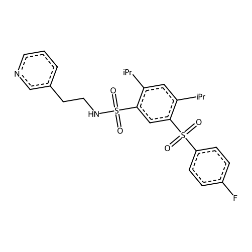 CC(C)c1cc(C(C)C)c(S(=O)(=O)c2ccc(F)cc2)cc1S(=O)(=O)NCCc1cccnc1